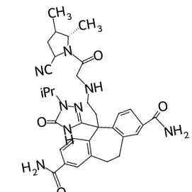 CC1CC(C#N)N(C(=O)CNCCC2(c3nn(C(C)C)c(=O)[nH]3)c3ccc(C(N)=O)cc3CCc3cc(C(N)=O)ccc32)[C@H]1C